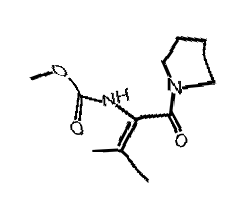 COC(=O)NC(C(=O)N1CCCC1)=C(C)C